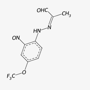 C/C(C=O)=N/Nc1ccc(OC(F)(F)F)cc1N=O